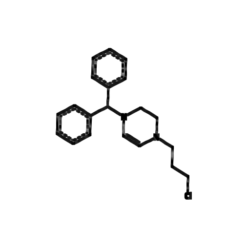 ClCCCN1C=CN(C(c2ccccc2)c2ccccc2)CC1